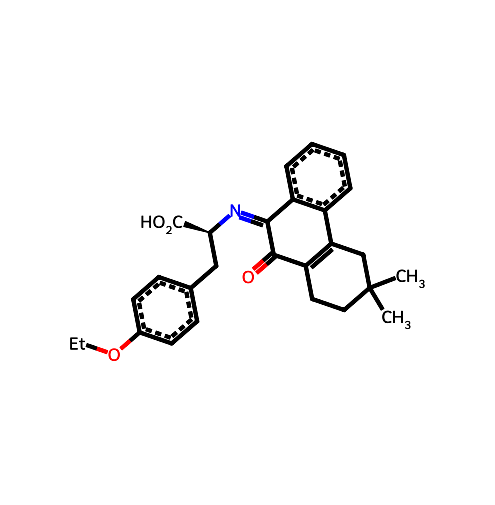 CCOc1ccc(C[C@H](N=C2C(=O)C3=C(CC(C)(C)CC3)c3ccccc32)C(=O)O)cc1